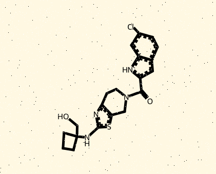 O=C(c1cc2ccc(Cl)cc2[nH]1)N1CCc2nc(NC3(CO)CCC3)sc2C1